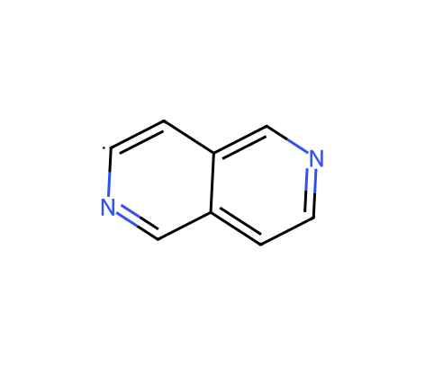 [c]1cc2cnccc2cn1